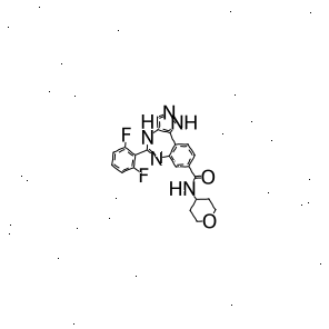 O=C(NC1CCOCC1)c1ccc2c(c1)N=C(c1c(F)cccc1F)Nc1cn[nH]c1-2